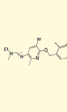 CCN(C)/C=N/c1cc(Br)c(OCc2cccc(C)c2C)nc1C